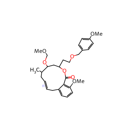 COCOC1CC(CCOCc2ccc(OC)cc2)OC(=O)c2c(cccc2OC)C/C=C/CC1C